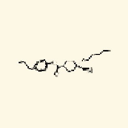 CCCCCC[C@]1(C#N)CC[C@@H](C(=O)Oc2ccc(CCC)cc2)CC1